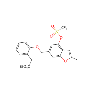 CCOC(=O)Cc1ccccc1OCc1cc(OS(=O)(=O)C(F)(F)F)c2cc(C)oc2c1